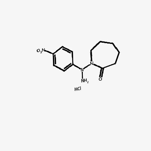 Cl.NN(c1ccc([N+](=O)[O-])cc1)N1CCCCCC1=O